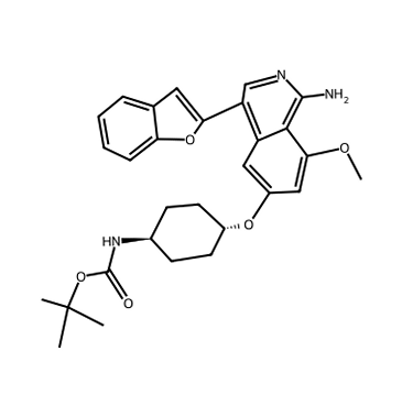 COc1cc(O[C@H]2CC[C@H](NC(=O)OC(C)(C)C)CC2)cc2c(-c3cc4ccccc4o3)cnc(N)c12